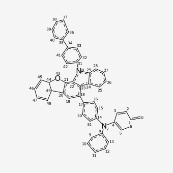 C=C/C=C\C(=C/C)N(c1ccccc1)c1ccc(-c2cc3c(c4c2c2ccccc2n4-c2ccc(-c4ccccc4)cc2)OC2C=CC=CC32)cc1